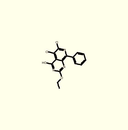 CCOc1nc(O)c2c(Cl)c(Cl)nc(-c3ccccc3)c2n1